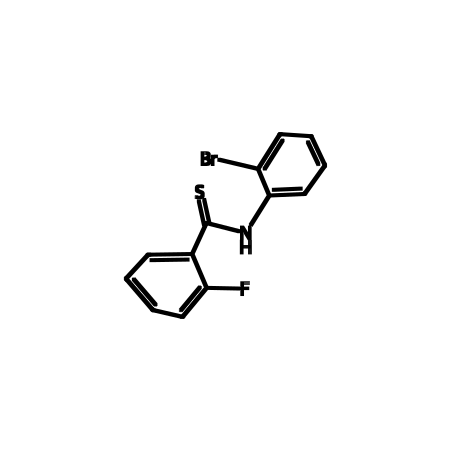 Fc1ccccc1C(=S)Nc1ccccc1Br